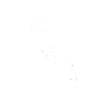 Cn1c(COc2cccc(C(F)(F)F)c2)nnc1C1CCC(NC(=O)OC(C)(C)C)CC1